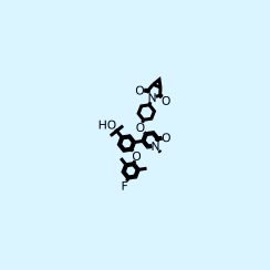 Cc1cc(F)cc(C)c1Oc1ccc(C(C)(C)O)cc1-c1cn(C)c(=O)cc1OC1CCC(N2C(=O)C3CC3C2=O)CC1